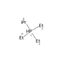 CC[PH](CC)(CC)C(C)C